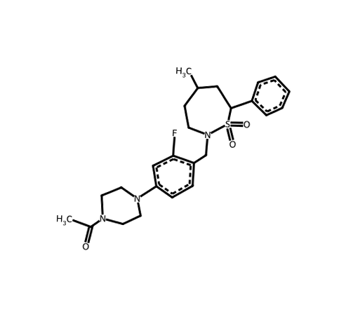 CC(=O)N1CCN(c2ccc(CN3CCC(C)CC(c4ccccc4)S3(=O)=O)c(F)c2)CC1